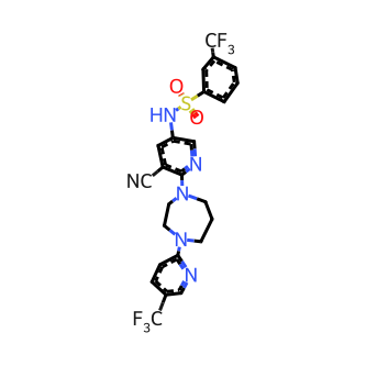 N#Cc1cc(NS(=O)(=O)c2cccc(C(F)(F)F)c2)cnc1N1CCCN(c2ccc(C(F)(F)F)cn2)CC1